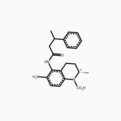 CC(CC(=O)Nc1c(N)ccc2c1CC[C@H](C)N2C(=O)O)c1ccccc1